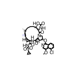 COc1cnc(O[C@@H]2C[C@H]3C(=O)N[C@]4(C(=O)NS(=O)(=O)C5CC5)C[C@H]4/C=C\[C@H](C)CCC[C@@H](C)[C@H](NC(=O)O)C(=O)N3C2)c2cccc(Cl)c12